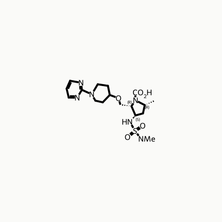 CNS(=O)(=O)N[C@H]1C[C@@H](C)N(C(=O)O)[C@H]1COC1CCN(c2ncccn2)CC1